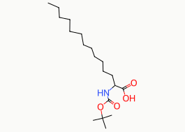 CCCCCCCCCCCCC(NC(=O)OC(C)(C)C)C(=O)O